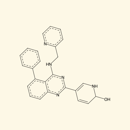 OC1C=CC(c2nc(NCc3ccccn3)c3c(-c4ccccc4)cccc3n2)=CN1